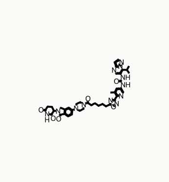 Cc1cc(NC(=O)Nc2cnc3ccnn3c2C(C)C)cnc1-c1noc(CCCCCC(=O)N2CCN(c3ccc4c(c3)CN(C3CCC(=O)NC3=O)C4=O)CC2)n1